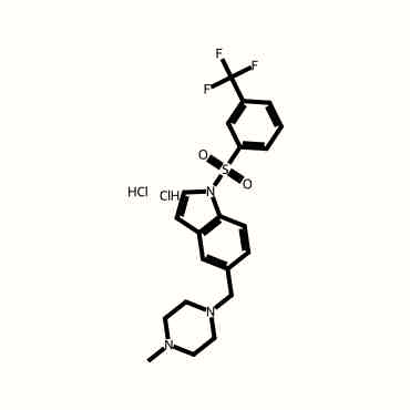 CN1CCN(Cc2ccc3c(ccn3S(=O)(=O)c3cccc(C(F)(F)F)c3)c2)CC1.Cl.Cl